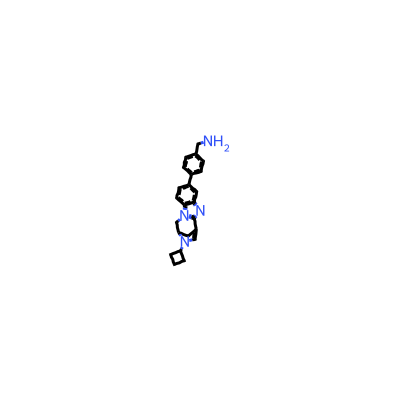 NCc1ccc(-c2ccc3c(c2)nc2n3CC3CC2=CN3C2CCC2)cc1